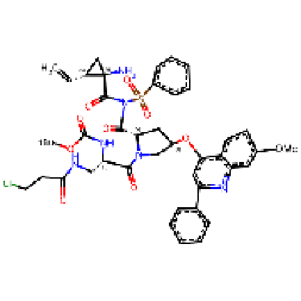 C=C[C@@H]1C[C@]1(N)C(=O)N(C(=O)[C@@H]1C[C@@H](Oc2cc(-c3ccccc3)nc3cc(OC)ccc23)CN1C(=O)[C@H](CNC(=O)CCCl)NC(=O)OC(C)(C)C)S(=O)(=O)c1ccccc1